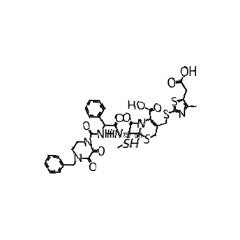 CS[C@@]1(NC(=O)C(NC(=O)N2CCN(Cc3ccccc3)C(=O)C2=O)c2ccccc2)C(=O)N2C(C(=O)O)=C(CSc3nc(C)c(CC(=O)O)s3)CS[C@@H]21